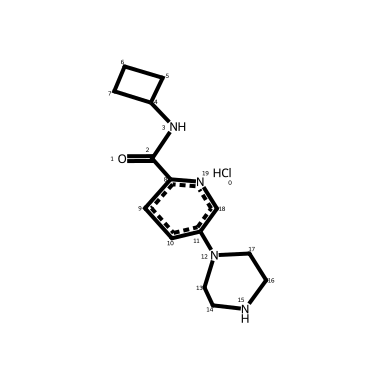 Cl.O=C(NC1CCC1)c1ccc(N2CCNCC2)cn1